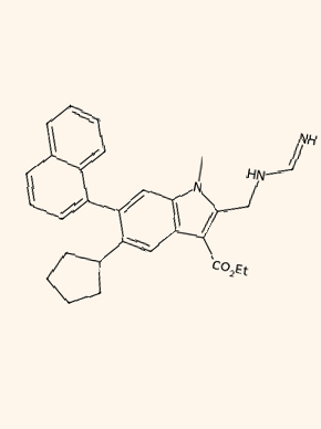 CCOC(=O)c1c(CNC=N)n(C)c2cc(-c3cccc4ccccc34)c(C3CCCC3)cc12